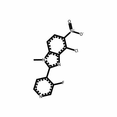 Cn1c(-c2ccncc2F)nc2c(Cl)c([N+](=O)[O-])ccc21